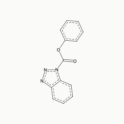 O=C(Oc1ccccc1)n1nnc2ccccc21